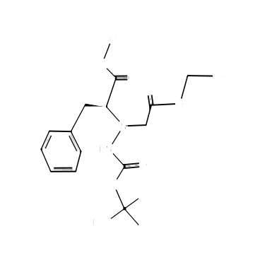 CCOC(=O)CN(NC(=O)OC(C)(C)C)[C@@H](Cc1ccccc1)C(=O)OC